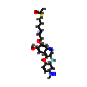 CNc1ccc(Oc2ccnc3cc(OC/C=C/CCCSC(C)=O)c(OC)cc23)c(F)c1